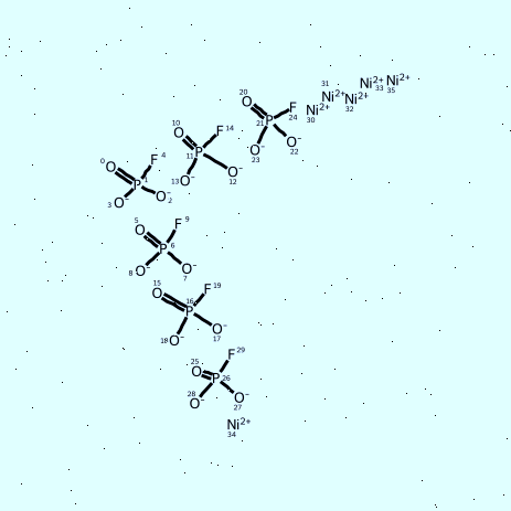 O=P([O-])([O-])F.O=P([O-])([O-])F.O=P([O-])([O-])F.O=P([O-])([O-])F.O=P([O-])([O-])F.O=P([O-])([O-])F.[Ni+2].[Ni+2].[Ni+2].[Ni+2].[Ni+2].[Ni+2]